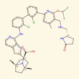 Cc1cc(-c2cccc(-c3cccc(Nc4nccc5sc(CN6[C@@H]7CC[C@H]6C[C@H](C(=O)O)C7)nc45)c3Cl)c2Cl)nc(OC(F)F)c1CNC[C@@H]1CCC(=O)N1